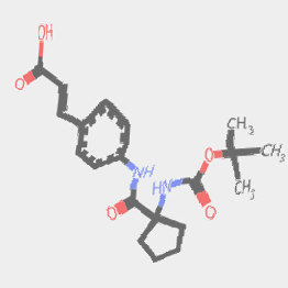 CC(C)(C)OC(=O)NC1(C(=O)Nc2ccc(C=CC(=O)O)cc2)CCCC1